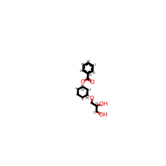 O=C(O[C@H]1CCC[C@@H](OCC(O)CO)C1)c1ccccc1